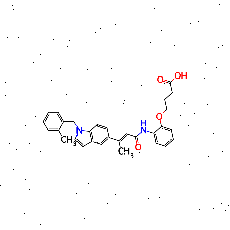 CC(=CC(=O)Nc1ccccc1OCCCC(=O)O)c1ccc2c(ccn2Cc2ccccc2C)c1